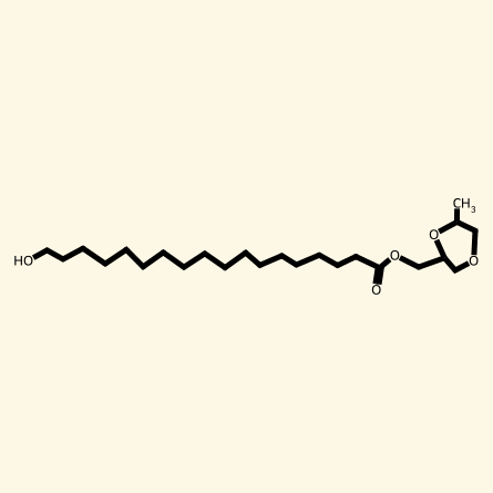 CC1COCC(COC(=O)CCCCCCCCCCCCCCCCCO)O1